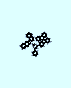 c1ccc2c(c1)-c1ccccc1C21c2ccccc2-c2ccc(-c3nc(-n4c5cc6ccccc6cc5c5c6ccccc6ccc54)nc4c3oc3ccccc34)cc21